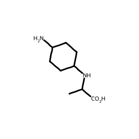 CC(NC1CCC(N)CC1)C(=O)O